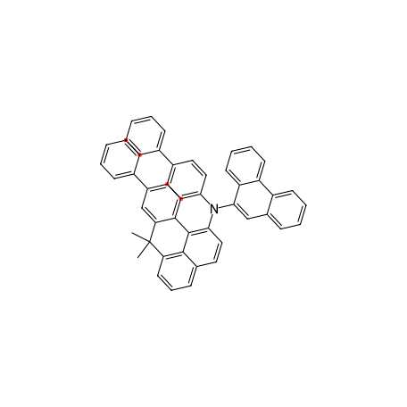 CC1(C)c2cc(-c3ccccc3)ccc2-c2c(N(c3ccc(-c4ccccc4)cc3)c3cc4ccccc4c4ccccc34)ccc3cccc1c23